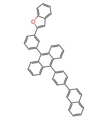 c1cc(-c2cc3ccccc3o2)cc(-c2c3ccccc3c(-c3ccc(-c4ccc5ccccc5c4)cc3)c3ccccc23)c1